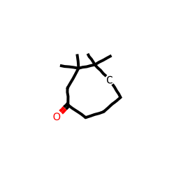 CC1(C)CCCCC(=O)CC1(C)C